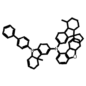 CC1CCCC2C1C1CC=C(N(C3=CC4=C(CC3)N(c3ccc(-c5ccccc5)cc3)C3C=CCCC43C)c3cccc4c3C3C=CCCC3O4)C=C1C21CCCC1